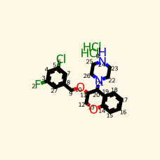 Cl.Cl.Fc1cc(Cl)cc(COC2COc3ccccc3C2N2CCNCC2)c1